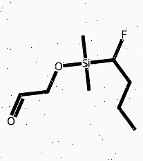 CCCC(F)[Si](C)(C)OCC=O